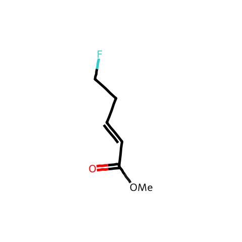 COC(=O)C=CCCF